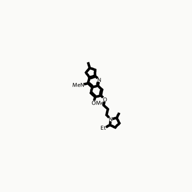 CCC1CCC(C)N1CCCOc1cc2nc3c(c(NC)c2cc1OC)CC(C)C3